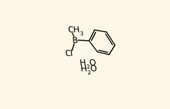 CB(Cl)c1ccccc1.O.O